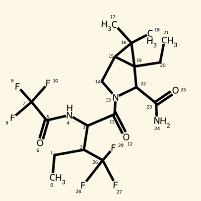 CCC(C(NC(=O)C(F)(F)F)C(=O)N1CC2C(C)(C)C2(CC)C1C(N)=O)C(F)(F)F